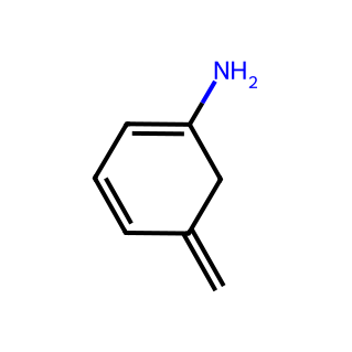 C=C1C=CC=C(N)C1